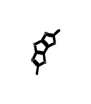 Cc1nc2sc3nc(C)sc3c2s1